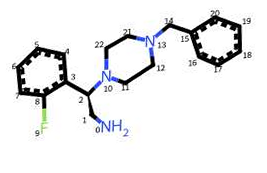 NC[C@@H](c1ccccc1F)N1CCN(Cc2ccccc2)CC1